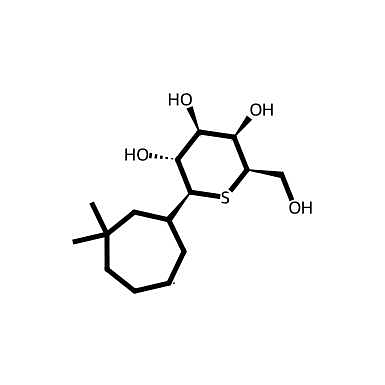 CC1(C)CC[CH]CC([C@@H]2S[C@H](CO)[C@H](O)[C@H](O)[C@H]2O)C1